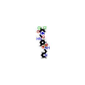 Cc1cc(NC(=O)Cn2ncc(Cl)c(Cl)c2=O)ccc1S(=O)(=O)NCCc1ccccn1